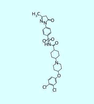 CC1=NN(c2ccc(S(=O)(=O)NC(=O)C3CCC(N4CCC(Oc5ccc(Cl)c(Cl)c5)CC4)CC3)cc2)C(=O)C1